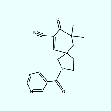 CC1(C)CC2(C=C(C#N)C1=O)CCN(C(=O)c1cccnc1)C2